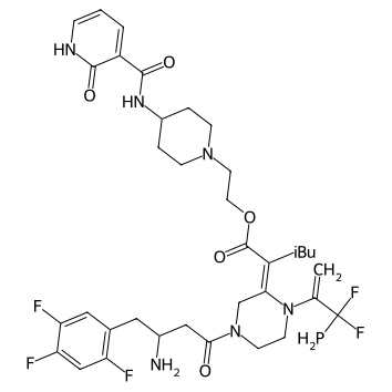 C=C(N1CCN(C(=O)CC(N)Cc2cc(F)c(F)cc2F)C/C1=C(\C(=O)OCCN1CCC(NC(=O)c2ccc[nH]c2=O)CC1)C(C)CC)C(F)(F)P